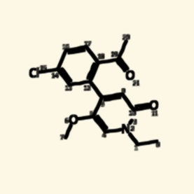 CCN(C)/C=C(OC)\C(=C/C=O)c1cc(Cl)ccc1C(C)=O